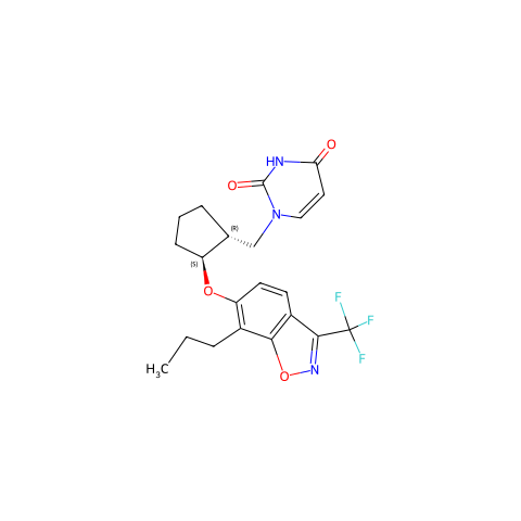 CCCc1c(O[C@H]2CCC[C@@H]2Cn2ccc(=O)[nH]c2=O)ccc2c(C(F)(F)F)noc12